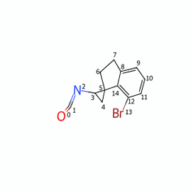 O=C=NC1CC12CCc1cccc(Br)c12